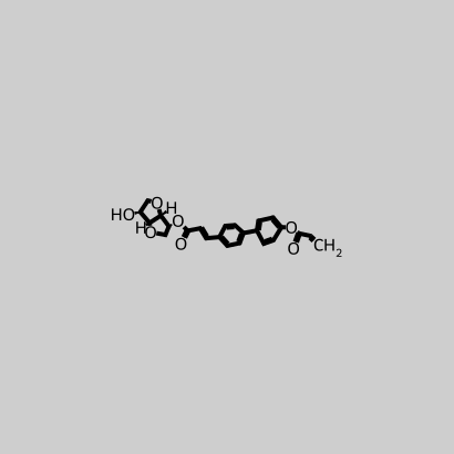 C=CC(=O)Oc1ccc(-c2ccc(/C=C/C(=O)O[C@@H]3CO[C@H]4[C@@H]3OC[C@@H]4O)cc2)cc1